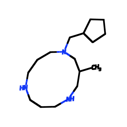 CC1CNCCCNCCCN(CC2CCCC2)C1